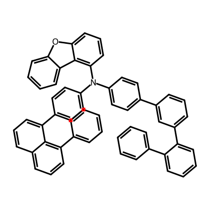 c1ccc(-c2ccccc2-c2cccc(-c3ccc(N(c4ccc(-c5cccc6cccc(-c7ccccc7)c56)cc4)c4cccc5oc6ccccc6c45)cc3)c2)cc1